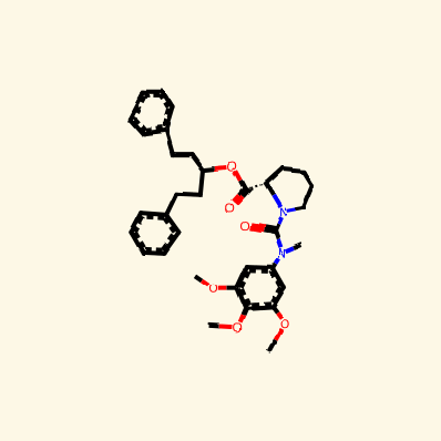 COc1cc(N(C)C(=O)N2CCCC[C@H]2C(=O)OC(CCc2ccccc2)CCc2ccccc2)cc(OC)c1OC